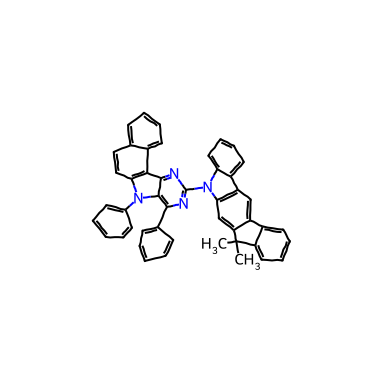 CC1(C)c2ccccc2-c2cc3c4ccccc4n(-c4nc(-c5ccccc5)c5c(n4)c4c6ccccc6ccc4n5-c4ccccc4)c3cc21